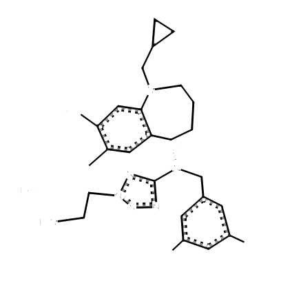 Cc1cc2c(cc1C(F)(F)F)N(CC1CC1)CCC[C@@H]2N(Cc1cc(C(F)(F)F)cc(C(F)(F)F)c1)c1nnn(CCN)n1.Cl